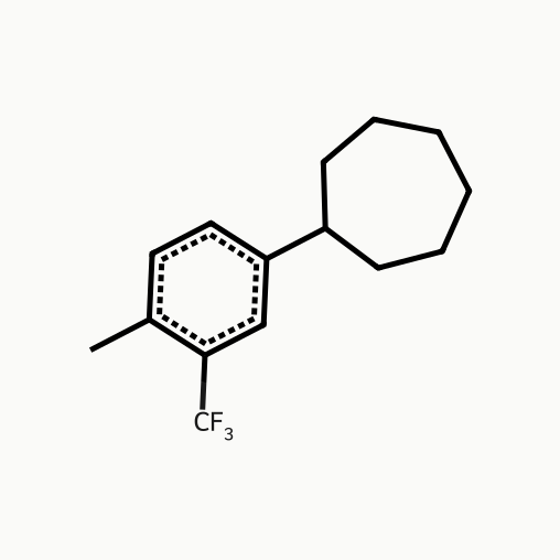 Cc1ccc(C2CCCCCC2)cc1C(F)(F)F